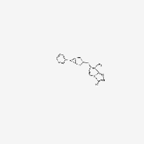 CCc1nnc2c(C(F)(F)F)c(CN3CC4C(C3)C4c3ccccc3)ccn12